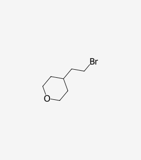 BrCCC1CCOCC1